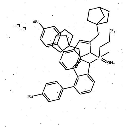 CCC(C)c1ccc(-c2cccc3c2C=C(CC24CCC(CC2)C4)[CH]3[Zr]([CH3])(=[SiH2])([CH2]CC(F)(F)F)[CH]2C(CC34CCC(CC3)C4)=Cc3c(-c4ccc(C(C)CC)cc4)cccc32)cc1.Cl.Cl